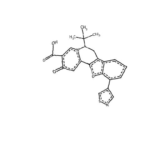 CC(C)(C)C1Cc2c(oc3c(-c4cnsc4)cccc23)-c2cc(=O)c(C(=O)O)cn21